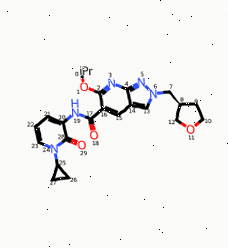 CC(C)Oc1nc2nn(C[C@H]3CCOC3)cc2cc1C(=O)Nc1cccn(C2CC2)c1=O